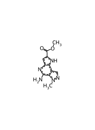 COC(=O)c1cc2nc(N)c3c(cnn3C)c2[nH]1